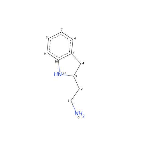 NCCC1Cc2ccccc2N1